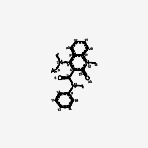 CC(=O)N(C)c1c(C(=O)N(C)c2ccccc2)c(=O)n(C)c2ccccc12